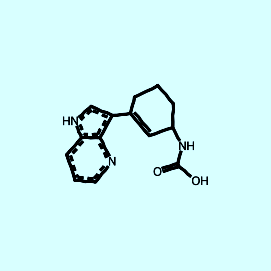 O=C(O)NC1C=C(c2c[nH]c3cccnc23)CCC1